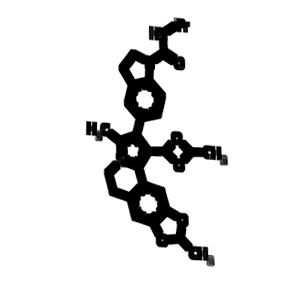 Cc1c(-c2ccc3c(c2)CCN3C(=O)NC(C)C)c(C2OC(C)O2)c2n1CCc1cc3c(cc1-2)OC(C)O3